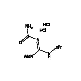 CCCNC(=NC(N)=O)NC.Cl.Cl